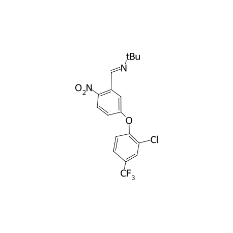 CC(C)(C)N=Cc1cc(Oc2ccc(C(F)(F)F)cc2Cl)ccc1[N+](=O)[O-]